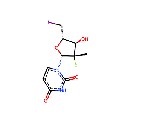 C[C@]1(F)[C@H](O)[C@@H](CI)O[C@H]1n1ccc(=O)[nH]c1=O